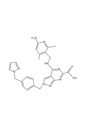 Cc1cc(N)nc(C)c1CNc1nc(C(=O)O)nc2nn(Cc3ccc(Cn4cccn4)cc3)cc12